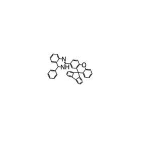 c1ccc(C2NC(c3ccc4c(c3)C3(c5ccccc5O4)c4ccccc4-c4ccccc43)=Nc3ccccc32)cc1